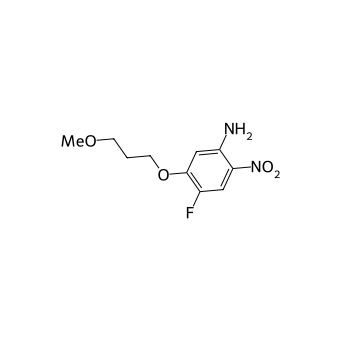 COCCCOc1cc(N)c([N+](=O)[O-])cc1F